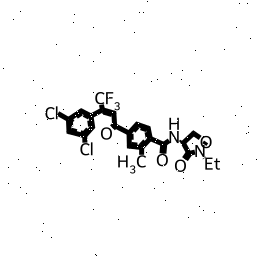 CCN1OC[C@@H](NC(=O)c2ccc(C(=O)/C=C(\c3cc(Cl)cc(Cl)c3)C(F)(F)F)cc2C)C1=O